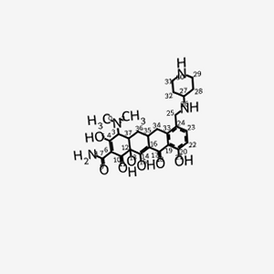 CN(C)C1C(O)=C(C(N)=O)C(=O)C2(O)C(O)=C3C(=O)c4c(O)ccc(CNC5CCNCC5)c4CC3CC12